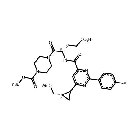 CCCCOC(=O)N1CCN(C(=O)[C@H](CCC(=O)O)NC(=O)c2cc(C3C[C@@H]3COC)nc(-c3ccc(F)cc3)n2)CC1